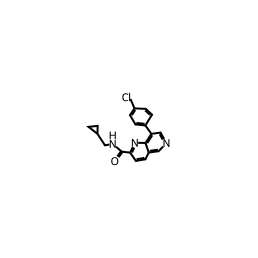 O=C(NCC1CC1)c1ccc2cncc(-c3ccc(Cl)cc3)c2n1